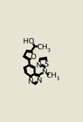 CC(O)c1ccc(-c2ccc3ncnc(N(C)c4nccs4)c3c2)o1